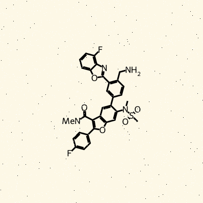 CNC(=O)c1c(-c2ccc(F)cc2)oc2cc(N(C)S(C)(=O)=O)c(-c3ccc(CN)c(-c4nc5c(F)cccc5o4)c3)cc12